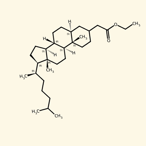 CCOC(=O)CC1CC[C@@]2(C)[C@@H](CC[C@@H]3[C@@H]2CC[C@]2(C)[C@@H]([C@H](C)CCCC(C)C)CC[C@@H]32)C1